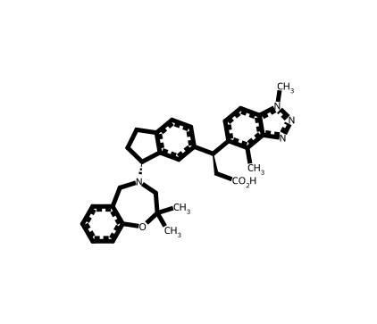 Cc1c([C@@H](CC(=O)O)c2ccc3c(c2)[C@H](N2Cc4ccccc4OC(C)(C)C2)CC3)ccc2c1nnn2C